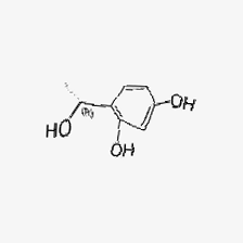 C[C@@H](O)c1ccc(O)cc1O